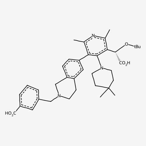 Cc1nc(C)c([C@H](OC(C)(C)C)C(=O)O)c(N2CCC(C)(C)CC2)c1-c1ccc2c(c1)CCN(Cc1cccc(C(=O)O)c1)C2